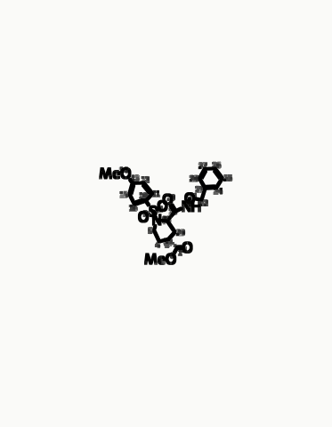 COC(=O)[C@@H]1CCN(S(=O)(=O)c2ccc(OC)cc2)[C@@H](C(=O)NOCc2ccccc2)C1